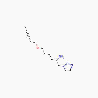 CC#CCCOCCCCC(N)Cn1ccnn1